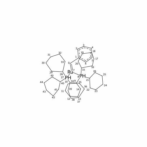 [CH](c1ccccc1)=[Ru]([PH](C1CCCCC1)(C1CCCCC1)C1CCCCC1)[PH](C1CCCCC1)(C1CCCCC1)C1CCCCC1